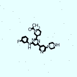 CC(=O)N1CCCC(c2nc(Nc3cccc(F)c3)cc(-c3cncc(N4CCNCC4)c3)n2)C1